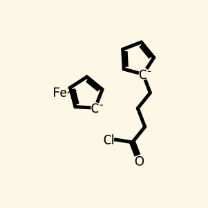 O=C(Cl)CCC[c-]1cccc1.[Fe+2].c1cc[cH-]c1